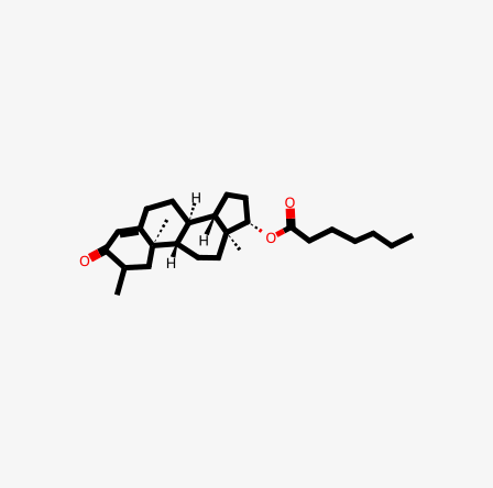 CCCCCCC(=O)O[C@H]1CC[C@H]2[C@@H]3CCC4=CC(=O)C(C)C[C@]4(C)[C@H]3CC[C@]12C